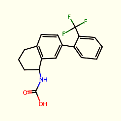 O=C(O)NC1CCCc2ccc(-c3ccccc3C(F)(F)F)cc21